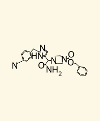 N#Cc1ccc(Cc2ncc(C(C(N)=O)N3CCN(C(=O)OCc4ccccc4)CC3)[nH]2)cc1